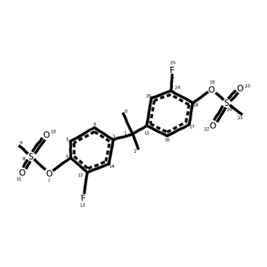 CC(C)(c1ccc(OS(C)(=O)=O)c(F)c1)c1ccc(OS(C)(=O)=O)c(F)c1